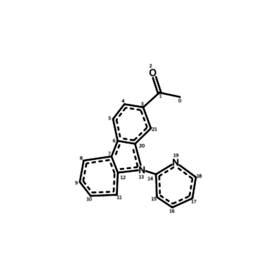 CC(=O)c1ccc2c3ccccc3n(-c3ccccn3)c2c1